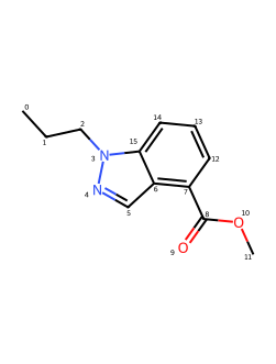 CCCn1ncc2c(C(=O)OC)cccc21